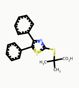 CC(C)(Sc1nc(-c2ccccc2)c(-c2ccccc2)s1)C(=O)O